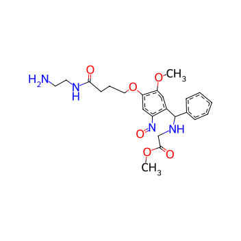 COC(=O)CNC(c1ccccc1)c1cc(OC)c(OCCCC(=O)NCCN)cc1N=O